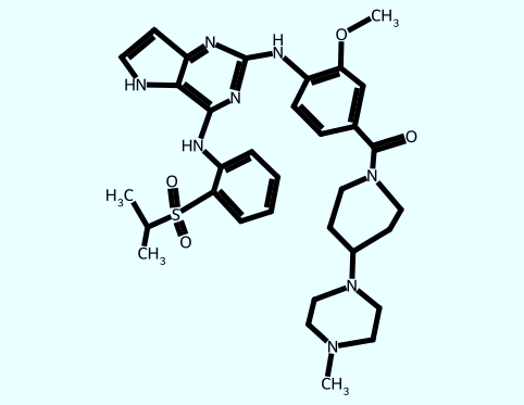 COc1cc(C(=O)N2CCC(N3CCN(C)CC3)CC2)ccc1Nc1nc(Nc2ccccc2S(=O)(=O)C(C)C)c2[nH]ccc2n1